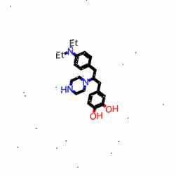 CCN(CC)c1ccc(CC(Cc2ccc(O)c(O)c2)N2CCNCC2)cc1